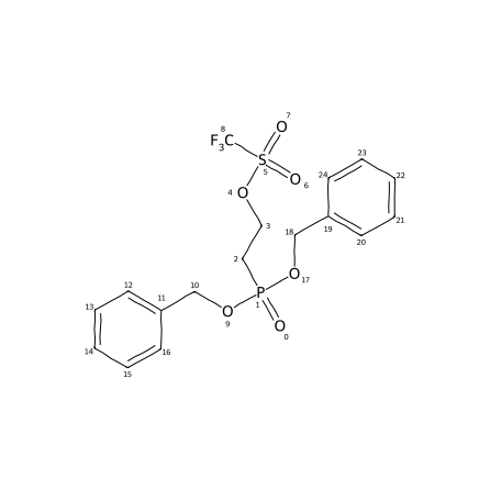 O=P(CCOS(=O)(=O)C(F)(F)F)(OCc1ccccc1)OCc1ccccc1